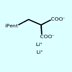 CCCC(C)CC(C(=O)[O-])C(=O)[O-].[Li+].[Li+]